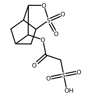 O=C(CS(=O)(=O)O)OC1C2CC3C1OS(=O)(=O)C3C2